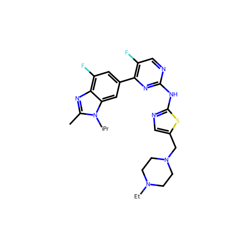 CCN1CCN(Cc2cnc(Nc3ncc(F)c(-c4cc(F)c5nc(C)n(C(C)C)c5c4)n3)s2)CC1